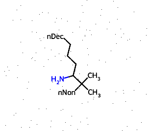 CCCCCCCCCCCCCC(N)C(C)(C)CCCCCCCCC